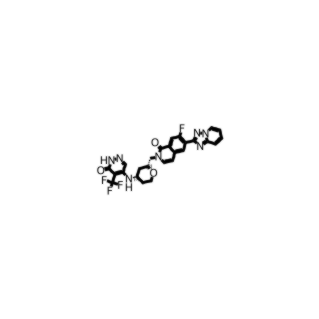 O=c1[nH]ncc(N[C@H]2CCO[C@@H](Cn3ccc4cc(-c5nc6ccccn6n5)c(F)cc4c3=O)C2)c1C(F)(F)F